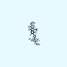 CC(C)(C)OC(=O)Nn1c(=O)c2cc(F)c(N3CC[C@@H](C(C)(C)NC(=O)OC(C)(C)C)C3)c(Cl)c2n(C2CC2)c1=O